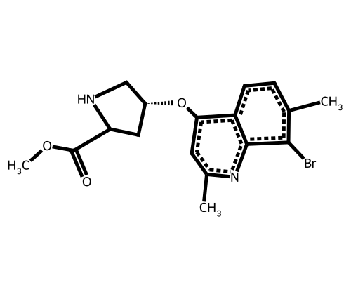 COC(=O)C1C[C@@H](Oc2cc(C)nc3c(Br)c(C)ccc23)CN1